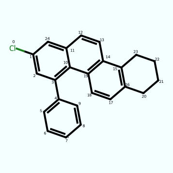 Clc1cc(-c2cc[c]cc2)c2c(ccc3c4c(ccc32)CCCC4)c1